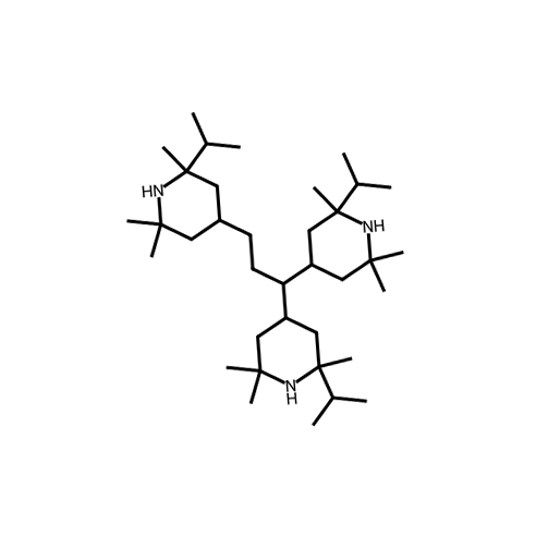 CC(C)C1(C)CC(CCC(C2CC(C)(C)NC(C)(C(C)C)C2)C2CC(C)(C)NC(C)(C(C)C)C2)CC(C)(C)N1